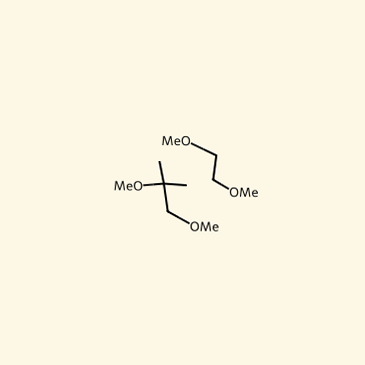 COCC(C)(C)OC.COCCOC